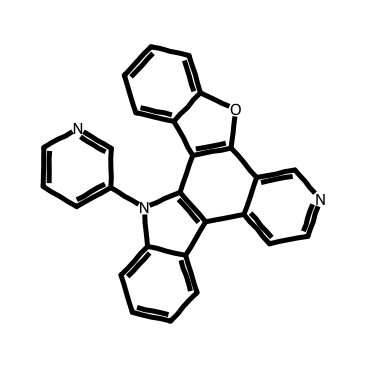 c1cncc(-n2c3ccccc3c3c4ccncc4c4oc5ccccc5c4c32)c1